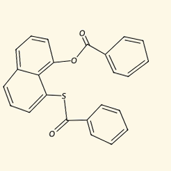 O=C(Oc1cccc2cccc(SC(=O)c3ccccc3)c12)c1ccccc1